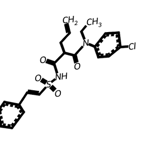 C=CCC(C(=O)NS(=O)(=O)C=Cc1ccccc1)C(=O)N(CC)c1ccc(Cl)cc1